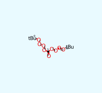 CC(C)(C)OOOOC(=O)OOOOC(C)(C)C